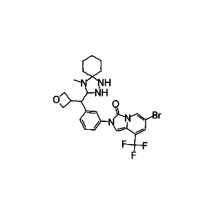 CN1C(C(c2cccc(-n3cc4c(C(F)(F)F)cc(Br)cn4c3=O)c2)C2COC2)NNC12CCCCC2